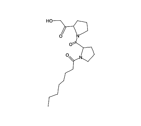 CCCCCCCC(=O)N1CCCC1C(=O)N1CCCC1C(=O)CO